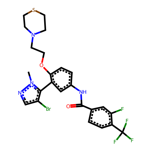 Cn1ncc(Br)c1-c1cc(NC(=O)c2ccc(C(F)(F)F)c(F)c2)ccc1OCCN1CCSCC1